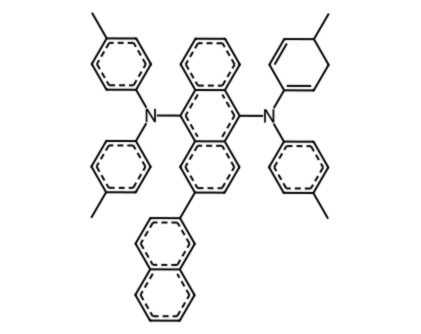 Cc1ccc(N(C2=CCC(C)C=C2)c2c3ccccc3c(N(c3ccc(C)cc3)c3ccc(C)cc3)c3cc(-c4ccc5ccccc5c4)ccc23)cc1